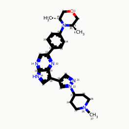 C[C@@H]1COC[C@@H](C)N1c1ccc(-c2cnc3[nH]cc(-c4cnn(C5CCN(C)CC5)c4)c3n2)cc1